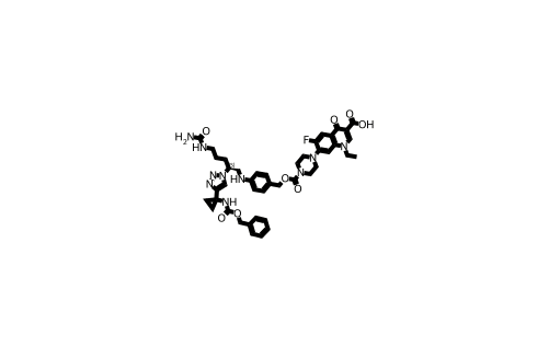 CCn1cc(C(=O)O)c(=O)c2cc(F)c(N3CCN(C(=O)OCc4ccc(NC[C@H](CCCNC(N)=O)n5cc(C6(NC(=O)OCc7ccccc7)CC6)nn5)cc4)CC3)cc21